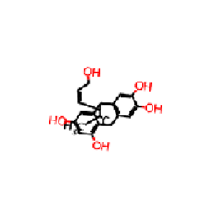 CC1CC2c3cc(O)c(O)cc3C(c3cc(O)cc(O)c32)C1/C=C\CO